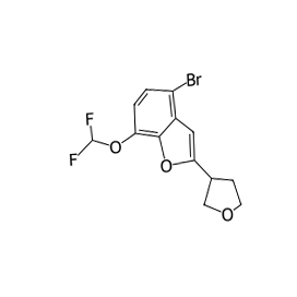 FC(F)Oc1ccc(Br)c2cc(C3CCOC3)oc12